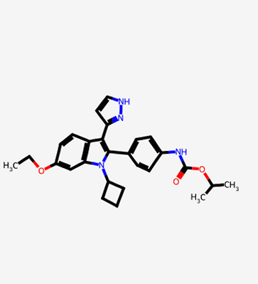 CCOc1ccc2c(-c3cc[nH]n3)c(-c3ccc(NC(=O)OC(C)C)cc3)n(C3CCC3)c2c1